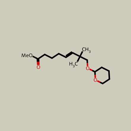 COC(=O)CCCC=CC(C)(C)COC1CCCCO1